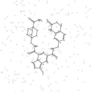 NC(=O)C12CCC(CNC(=O)c3cc(C(=O)NCc4ccc5c(c4)NC(=O)CO5)nc4c(F)cnn34)(CC1)CC2